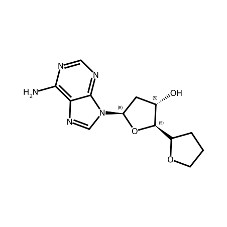 Nc1ncnc2c1ncn2[C@H]1C[C@H](O)[C@@H](C2CCCO2)O1